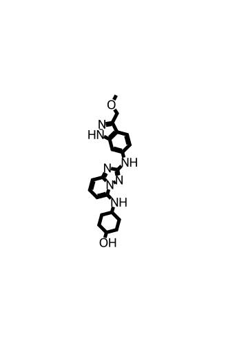 COCc1n[nH]c2cc(Nc3nc4cccc(NC5CCC(O)CC5)n4n3)ccc12